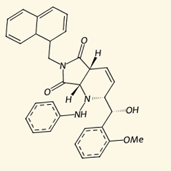 COc1ccccc1[C@@H](O)[C@H]1C=C[C@H]2C(=O)N(CC3C=CC=C4C=CC=CC43)C(=O)[C@H]2N1Nc1ccccc1